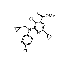 COC(=O)c1nc(C2CC2)nc(N(CC2CC2)c2ccc(Cl)cc2)c1Cl